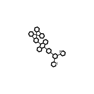 c1ccc(-c2cc(-c3ccc(-c4c5ccccc5c(-c5ccc6c(c5)C5(c7ccccc7-c7ccccc75)c5ccccc5-6)c5ccccc45)cc3)cc(-c3ccccn3)c2)nc1